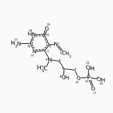 C=Nc1c(N(C)CC(O)COP(=O)(O)O)nc(N)[nH]c1=O